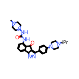 CC(C)N1CCN(c2ccc(C3=C4C(=O)c5c(NC(=O)NN6CCN(C)CC6)cccc5C4N=N3)cc2)CC1